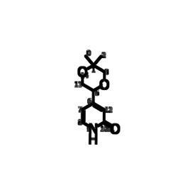 CC1(C)COC(c2cc[nH]c(=O)c2)CO1